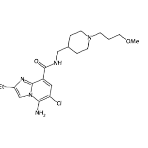 CCc1cn2c(N)c(Cl)cc(C(=O)NCC3CCN(CCCOC)CC3)c2n1